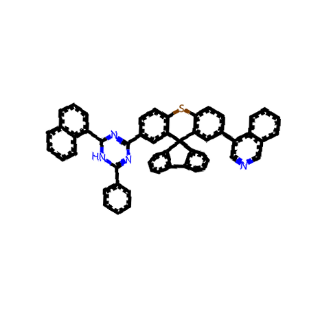 c1ccc(C2=NC(c3ccc4c(c3)C3(c5cc(-c6cncc7ccccc67)ccc5S4)c4ccccc4-c4ccccc43)=NC(c3cccc4ccccc34)N2)cc1